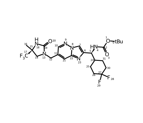 CC(C)(C)OC(=O)N[C@H](c1cn2ncc(CN3C[C@@](C)(C(F)(F)F)NC3=O)cc2n1)C1CCC(F)(F)CC1